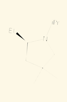 CC[C@@H]1CC(C)(C)CN1C(C)C